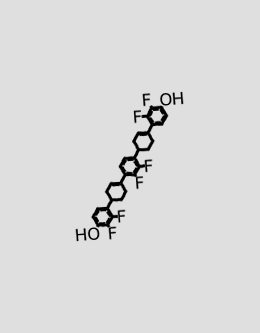 Oc1ccc(C2=CCC(c3ccc(C4=CCC(c5ccc(O)c(F)c5F)CC4)c(F)c3F)CC2)c(F)c1F